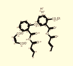 CC=CC(=O)OC(=O)c1ccccc1C(=O)OCC.CC=CC(=O)OC(=O)c1ccccc1C(=O)OCC.O=C([O-])/C=C\C(=O)[O-].[H+].[H+]